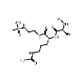 CC(C)N[C@H](C(=O)N[C@@H](CCCNC(N)=O)C(=O)NCCNP(C)(=O)O)C(C)C